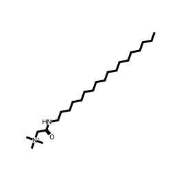 CCCCCCCCCCCCCCCCCCNC(=O)C[N+](C)(C)C